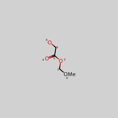 COCOC(=O)C[O]